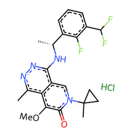 COc1c(=O)n(C2(C)CC2)cc2c(N[C@H](C)c3cccc(C(F)F)c3F)nnc(C)c12.Cl